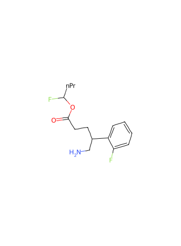 CCCC(F)OC(=O)CCC(CN)c1ccccc1F